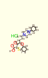 COC(=O)C1Sc2ccccc2OC(CCCN2CCN(c3ccccc3)CC2)C1=O.Cl